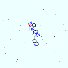 c1cnc2ccc(Cc3cnc4ccc(Nc5cccc6nonc56)nn34)cc2c1